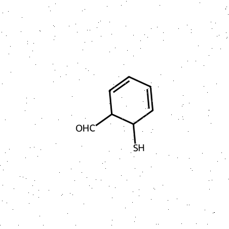 O=CC1C=CC=CC1S